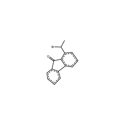 CC(Br)c1cccc2c1C(=O)c1ccccc1-2